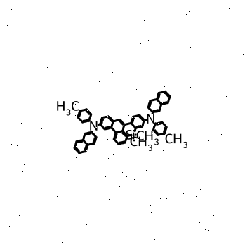 Cc1ccc(N(c2ccc3c(c2)[Si](C)(C)c2cccc4c2c-3cc2ccc(N(c3ccc(C)cc3)c3ccc5ccccc5c3)cc24)c2ccc3ccccc3c2)cc1